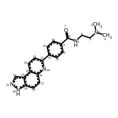 CN(C)CCNC(=O)c1ccc(-c2ccc3c(ccc4[nH]ncc43)n2)cc1